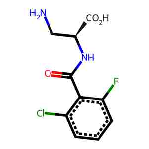 NC[C@H](NC(=O)c1c(F)cccc1Cl)C(=O)O